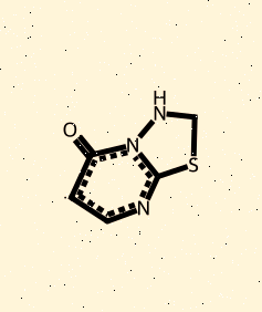 O=c1[c]cnc2n1NCS2